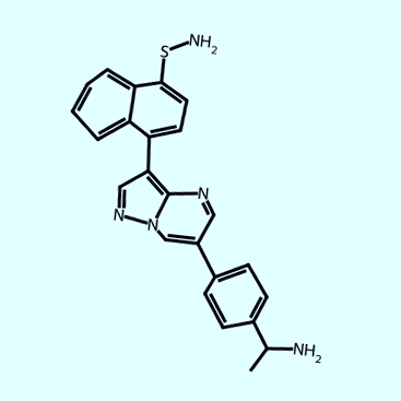 CC(N)c1ccc(-c2cnc3c(-c4ccc(SN)c5ccccc45)cnn3c2)cc1